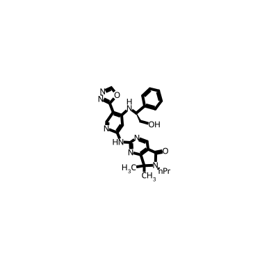 CCCN1C(=O)c2cnc(Nc3cc(N[C@H](CO)c4ccccc4)c(-c4nnco4)cn3)nc2C1(C)C